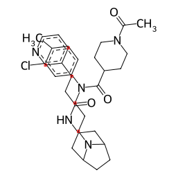 CC(=O)N1CCC(C(=O)N(CCCN2C3CCC2CC(NC(=O)CCc2cccnc2)C3)c2ccc(C)c(Cl)c2)CC1